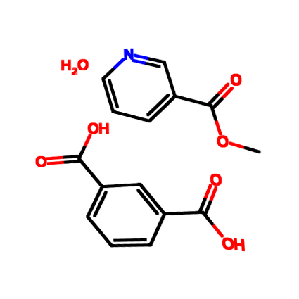 COC(=O)c1cccnc1.O.O=C(O)c1cccc(C(=O)O)c1